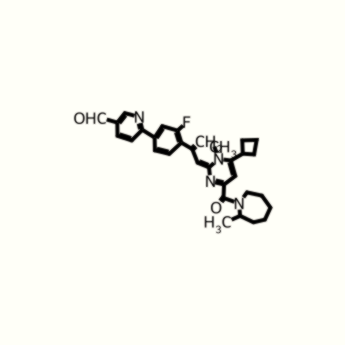 C=C(/C=C1/N=C(C(=O)N2CCCCCC2C)C=C(C2CCC2)N1C)c1ccc(-c2ccc(C=O)cn2)cc1F